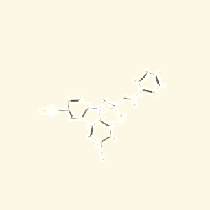 O=C(O)c1ccc2c(c1)c1cc(Br)ccc1n2CC(O)COc1ccccc1